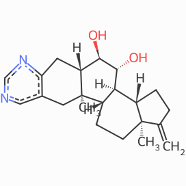 C=C1CC[C@H]2[C@@H]3[C@@H](O)[C@H](O)[C@H]4Cc5ncncc5C[C@]4(C)[C@H]3CC[C@]12C